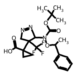 CC(ON(C(=O)OC(C)(C)C)C1N=NCC1(C(F)(F)F)C1(C(=O)O)CC1)c1ccccc1